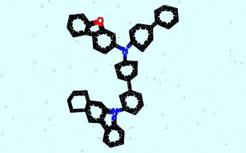 C1=Cc2cc3c(cc2CC1)c1ccccc1n3-c1cccc(-c2ccc(N(c3ccc(-c4ccccc4)cc3)c3ccc4c(c3)oc3ccccc34)cc2)c1